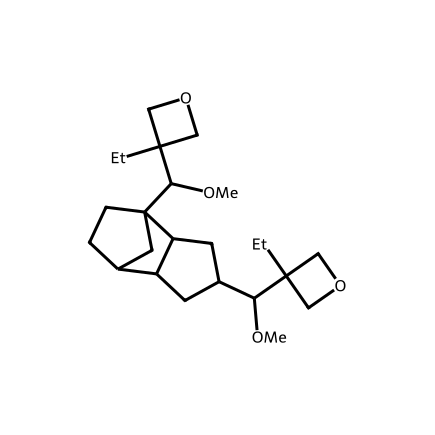 CCC1(C(OC)C2CC3C4CCC(C(OC)C5(CC)COC5)(C4)C3C2)COC1